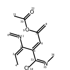 C=NC(=C/C)/C(=C\C(=C)OC(C)=O)C(/Cl)=N\C